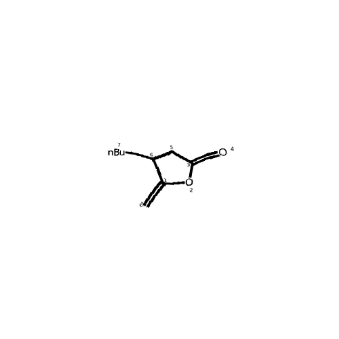 C=C1OC(=O)CC1CCCC